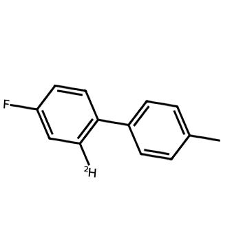 [2H]c1cc(F)ccc1-c1ccc(C)cc1